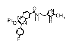 Cc1ncc(CCNC(=O)c2ccc3nc(OC(C)C)c(-c4ccc(F)cc4)nc3c2)[nH]1